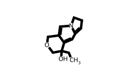 CCC1(O)COCC2=CN3CCC=C3C=C21